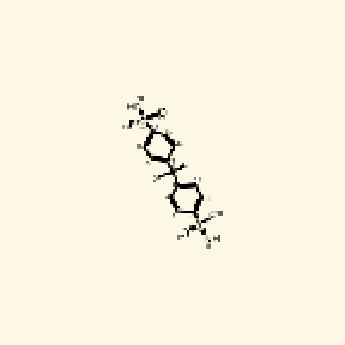 CC(C)(c1ccc(S(=N)(=O)F)cc1)c1ccc(S(=N)(=O)F)cc1